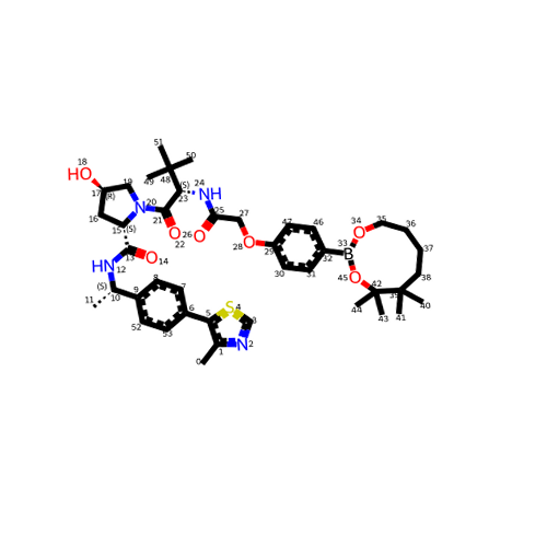 Cc1ncsc1-c1ccc([C@H](C)NC(=O)[C@@H]2C[C@@H](O)CN2C(=O)[C@@H](NC(=O)COc2ccc(B3OCCCCC(C)(C)C(C)(C)O3)cc2)C(C)(C)C)cc1